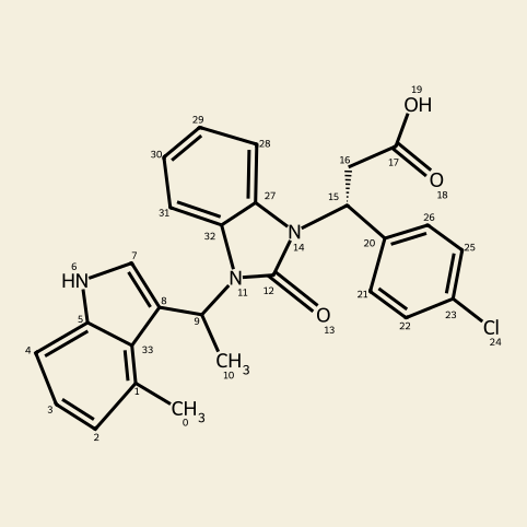 Cc1cccc2[nH]cc(C(C)n3c(=O)n([C@H](CC(=O)O)c4ccc(Cl)cc4)c4ccccc43)c12